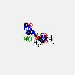 CCN1C(=O)C(C)(C)C(=O)N(C)c2cc(OCCCN(CCCNC(=O)C3CCCCC3)Cc3ccncc3)ccc21.Cl.Cl